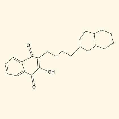 O=C1C(O)=C(CCCCC2CCC3CCCCC3C2)C(=O)c2ccccc21